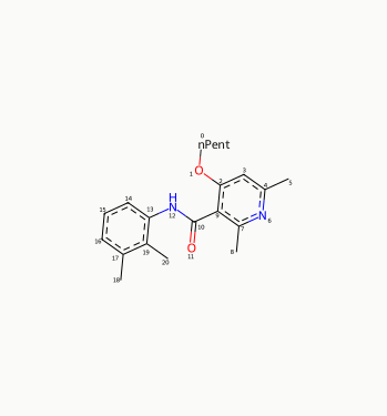 CCCCCOc1cc(C)nc(C)c1C(=O)Nc1cccc(C)c1C